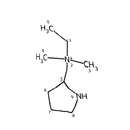 C[CH][N+](C)(C)C1CCCN1